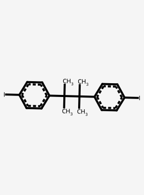 CC(C)(c1ccc(I)cc1)C(C)(C)c1ccc(I)cc1